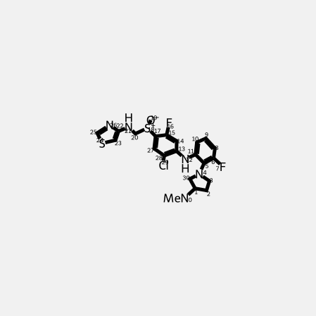 CNC1CCN(c2c(F)cccc2Nc2cc(F)c([S+]([O-])CNc3cscn3)cc2Cl)C1